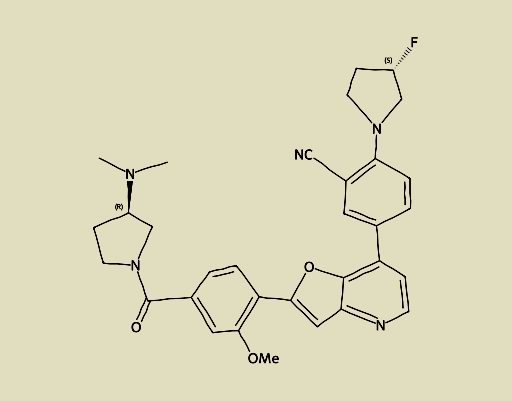 COc1cc(C(=O)N2CC[C@@H](N(C)C)C2)ccc1-c1cc2nccc(-c3ccc(N4CC[C@H](F)C4)c(C#N)c3)c2o1